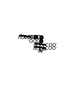 CCCCCCCC/C=C\CCCCCCCC(=O)[O-].CCCCCCCC/C=C\CCCCCCCC(=O)[O-].CCCCCCCC/C=C\CCCCCCCC(=O)[O-].O=C([O-])c1ccccc1.O=C([O-])c1ccccc1.O=C([O-])c1ccccc1.[Al+3].[Al+3]